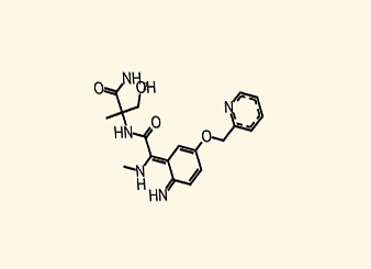 CN/C(C(=O)NC(C)(CO)C(N)=O)=C1/C=C(OCc2ccccn2)C=CC1=N